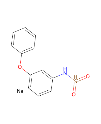 O=[SH](=O)Nc1cccc(Oc2ccccc2)c1.[Na]